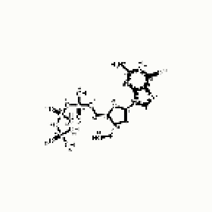 Nc1nc2c(ncn2[C@H]2C[C@H](CO)[C@@H](COP(=O)(O)OP(=O)(O)OP(=O)(O)O)O2)c(=O)[nH]1